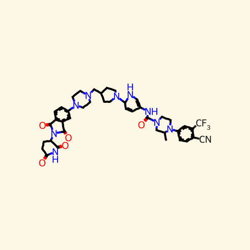 CC1CN(C(=O)NC2=CNC(N3CCC(CN4CCN(c5ccc6c(c5)C(=O)N(C5CCC(=O)NC5=O)C6=O)CC4)CC3)C=C2)CCN1c1ccc(C#N)c(C(F)(F)F)c1